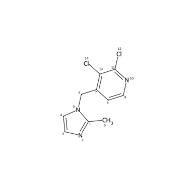 Cc1nccn1Cc1ccnc(Cl)c1Cl